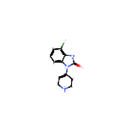 O=c1[nH]c2c(Cl)cccc2n1C1=CCNCC1